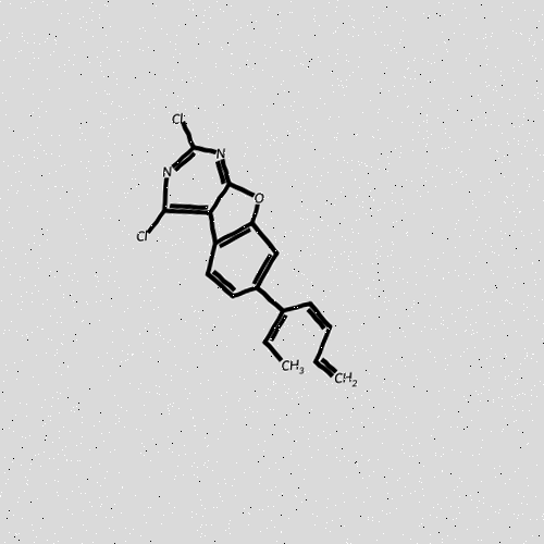 C=C/C=C\C(=C/C)c1ccc2c(c1)oc1nc(Cl)nc(Cl)c12